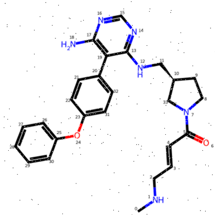 CNC/C=C/C(=O)N1CC[C@H](CNc2ncnc(N)c2-c2ccc(Oc3ccccc3)cc2)C1